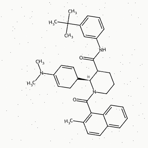 Cc1ccc2ccccc2c1C(=O)N1CCCC(C(=O)Nc2cccc(C(C)(C)C)c2)[C@@H]1C1C=CC(N(C)C)=CC1